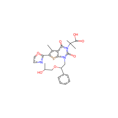 Cc1c(-c2ncco2)sc2c1c(=O)n(C(C)(C)C(=O)O)c(=O)n2CC(OCC(C)O)c1ccccc1